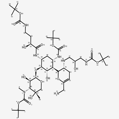 CN(C(=O)OC(C)(C)C)[C@@H]1[C@@H](O)[C@@H](O[C@@H]2[C@@H](O)[C@H](C3OC(CN)=CC[C@H]3NCC(O)CNC(=O)OC(C)(C)C)[C@@H](NC(=O)OC(C)(C)C)C[C@H]2NC(=O)[C@@H](O)CCNC(=O)OC(C)(C)C)OC[C@]1(C)O